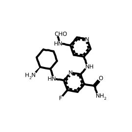 NC(=O)c1cc(F)c(NC2CCCC[C@@H]2N)nc1Nc1cncc(NC=O)c1